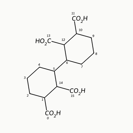 O=C(O)C1CCCC(C2CCCC(C(=O)O)C2C(=O)O)C1C(=O)O